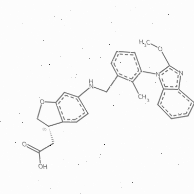 COc1nc2ccccc2n1-c1cccc(CNc2ccc3c(c2)OC[C@H]3CC(=O)O)c1C